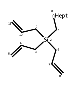 [CH2]CCCCCCC[Si](CC=C)(CC=C)CC=C